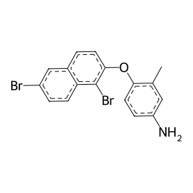 Cc1cc(N)ccc1Oc1ccc2cc(Br)ccc2c1Br